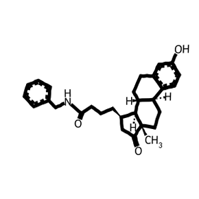 C[C@]12CC[C@@H]3c4ccc(O)cc4CC[C@H]3[C@@H]1[C@H](CCCC(=O)NCc1ccccc1)CC2=O